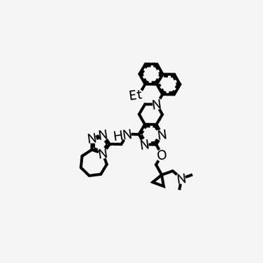 CCc1cccc2cccc(N3CCc4c(nc(OCC5(CN(C)C)CC5)nc4NCc4nnc5n4CCCCC5)C3)c12